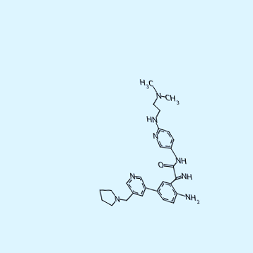 CN(C)CCNc1ccc(NC(=O)C(=N)c2cc(-c3cncc(CN4CCCC4)c3)ccc2N)cn1